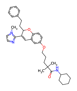 Cn1ccnc1C1=Cc2cc(OCCCC(C)(C)C(=O)NC3CCCCC3)ccc2OC1CCc1ccccc1